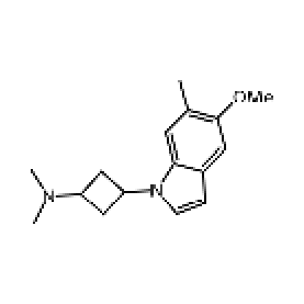 COc1cc2ccn(C3CC(N(C)C)C3)c2cc1C